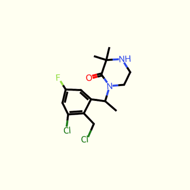 CC(c1cc(F)cc(Cl)c1CCl)N1CCNC(C)(C)C1=O